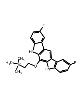 C[N+](C)(C)CCOc1c2[nH]c3ccc(F)cc3c2cc2c1[nH]c1ccc(F)cc12